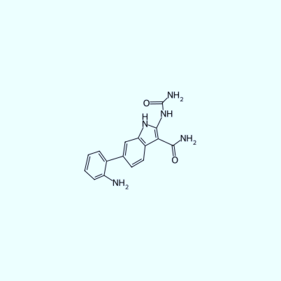 NC(=O)Nc1[nH]c2cc(-c3ccccc3N)ccc2c1C(N)=O